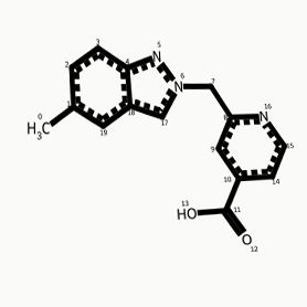 Cc1ccc2nn(Cc3cc(C(=O)O)ccn3)cc2c1